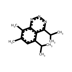 Cc1cc(C(C)C)c2c(C(C)C)nnnc2c1C